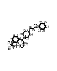 CC(O)C(c1cccc(C(F)(F)F)c1)N1CCN(CCOc2ccccc2)CC1